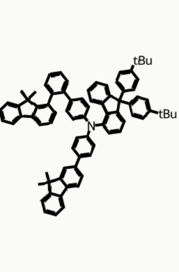 CC(C)(C)c1ccc(C2(c3ccc(C(C)(C)C)cc3)c3ccccc3-c3c(N(c4ccc(-c5ccc6c(c5)C(C)(C)c5ccccc5-6)cc4)c4ccc(-c5ccccc5-c5cccc6c5C(C)(C)c5ccccc5-6)cc4)cccc32)cc1